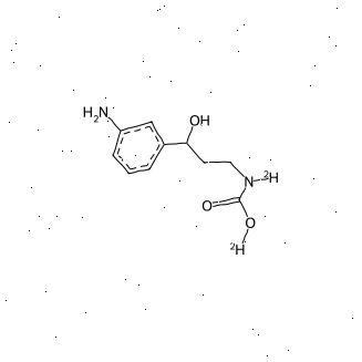 [2H]OC(=O)N([2H])CCC(O)c1cccc(N)c1